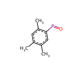 Cc1cc(C)c(P=O)cc1C